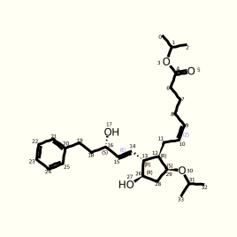 CC(C)OC(=O)CCC/C=C\C[C@@H]1[C@@H](/C=C/[C@@H](O)CCc2ccccc2)[C@H](O)C[C@@H]1OC(C)C